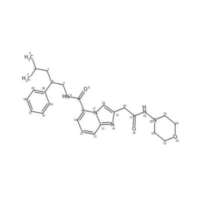 CC(C)CC(CNC(=O)c1cccc2nc(CC(=O)NN3CCOCC3)cn12)c1ccccc1